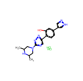 CC1CN(c2ncc(-c3ccc(-c4cn[nH]c4)cc3O)nn2)CC(C)N1.Cl.Cl